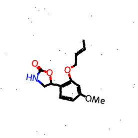 CC=CCOc1cc(OC)ccc1C1CNC(=O)O1